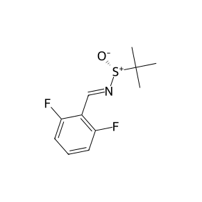 CC(C)(C)[S@@+]([O-])/N=C/c1c(F)cccc1F